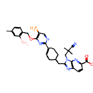 Bc1cc(C)ccc1COc1nc(C2=CCC(Cc3nc4ccc(C(=O)O)nc4n3CC(C)(C)C#N)CC2)ncc1P